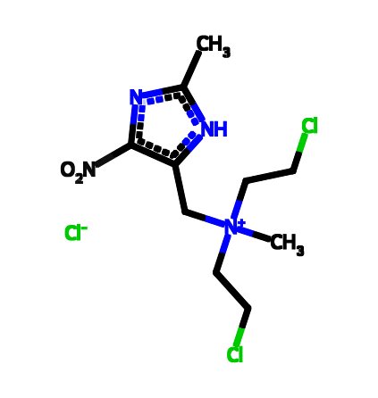 Cc1nc([N+](=O)[O-])c(C[N+](C)(CCCl)CCCl)[nH]1.[Cl-]